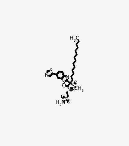 CCCCCCCCCCCCCCC(C(=O)NCCS(N)(=O)=O)(c1nc2ccc(-c3cncs3)cc2s1)S(C)(=O)=O